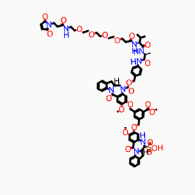 COC(=O)c1cc(COc2cc3c(cc2OC)C(=O)N2c4ccccc4C[C@H]2C(S(=O)(=O)O)N3)cc(COc2cc3c(cc2OC)C(=O)N2c4ccccc4C[C@H]2CN3C(=O)OCc2ccc(NC(=O)[C@H](C)NC(=O)[C@@H](NC(=O)CCOCCOCCOCCOCCNC(=O)CCN3C(=O)C=CC3=O)C(C)C)cc2)c1